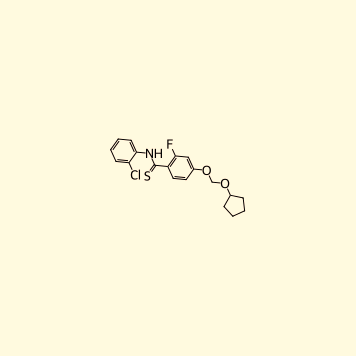 Fc1cc(OCOC2CCCC2)ccc1C(=S)Nc1ccccc1Cl